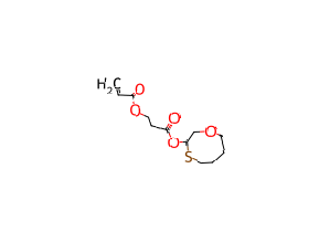 C=CC(=O)OCCC(=O)OC1COCCCCS1